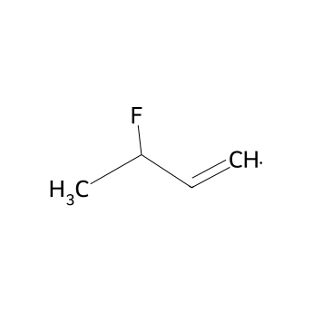 [CH]=CC(C)F